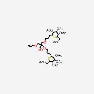 C=CCOCC(CO)(COCCC[C@@H]1S[C@H](COC(C)=O)[C@@H](OC(C)=O)[C@H](OC(C)=O)[C@H]1OC(C)=O)COCCC[C@@H]1S[C@H](COC(C)=O)[C@@H](OC(C)=O)[C@H](OC(C)=O)[C@H]1OC(C)=O